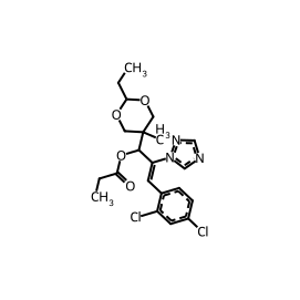 CCC(=O)OC(C(=Cc1ccc(Cl)cc1Cl)n1cncn1)C1(C)COC(CC)OC1